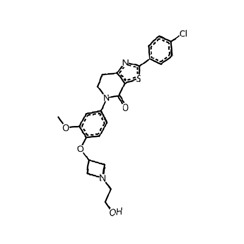 COc1cc(N2CCc3nc(-c4ccc(Cl)cc4)sc3C2=O)ccc1OC1CN(CCO)C1